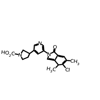 CC1=C(Cl)C(C)C2=CN(c3cncc(C4CCN(C(=O)O)C4)c3)C(=O)C2=C1